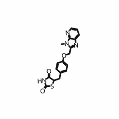 Cn1c(COc2ccc(CC3SC(=O)NC3=O)cc2)nc2cccnc21